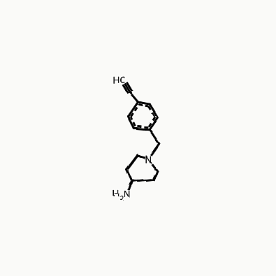 C#Cc1ccc(CN2CCC(N)CC2)cc1